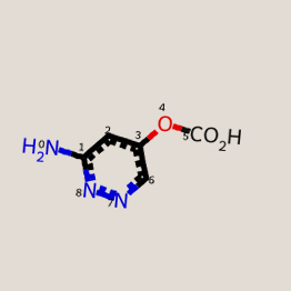 Nc1cc(OC(=O)O)cnn1